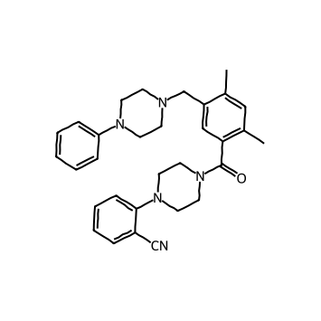 Cc1cc(C)c(C(=O)N2CCN(c3ccccc3C#N)CC2)cc1CN1CCN(c2ccccc2)CC1